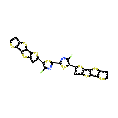 Fc1nc(-c2nc(F)c(-c3cc4sc5c6sccc6sc5c4s3)s2)sc1-c1cc2sc3c4sccc4sc3c2s1